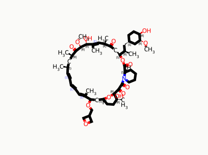 CO[C@@H]1C[C@H](C[C@@H](C)[C@@H]2CC(=O)[C@H](C)/C=C(\C)[C@@H](O)[C@@H](OC)C(=O)[C@H](C)C[C@H](C)/C=C/C=C/C=C(\C)C(OCC3COC3)C[C@@H]3CC[C@@H](C)[C@@](O)(O3)C(=O)C(=O)N3CCCC[C@H]3C(=O)O2)CC[C@H]1O